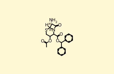 CC(=O)OC1CS[C@@H]2[C@H](N)C(=O)N2C1C(=O)OC(c1ccccc1)c1ccccc1